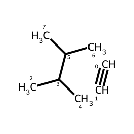 C#C.CC(C)C(C)C